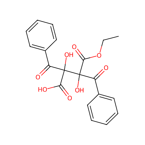 CCOC(=O)C(O)(C(=O)c1ccccc1)C(O)(C(=O)O)C(=O)c1ccccc1